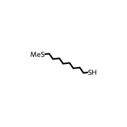 CSCCCCCCCCS